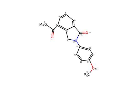 COC(=O)c1cccc2c1CN(c1ccc(OC(F)(F)F)cc1)C2=O